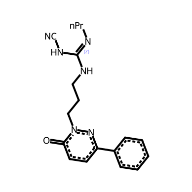 CCC/N=C(\NC#N)NCCCn1nc(-c2ccccc2)ccc1=O